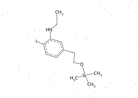 CCNc1cc(CCO[Si](C)(C)C)ccc1I